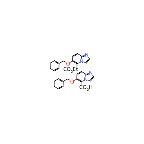 CCOC(=O)c1c(OCc2ccccc2)ccc2nccn12.O=C(O)c1c(OCc2ccccc2)ccc2nccn12